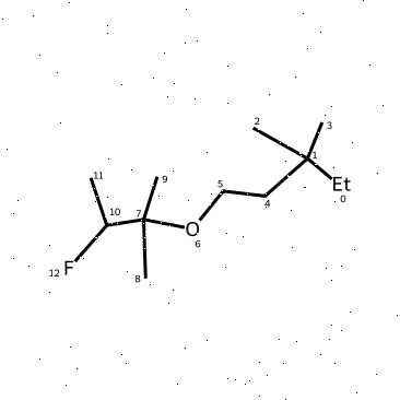 CCC(C)(C)CCOC(C)(C)C(C)F